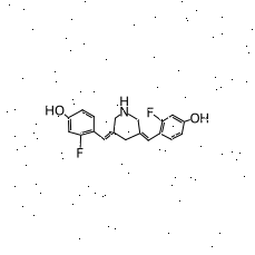 Oc1ccc(/C=C2\CNC/C(=C\c3ccc(O)cc3F)C2)c(F)c1